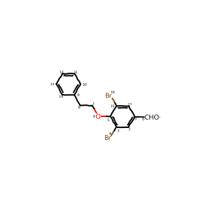 O=[C]c1cc(Br)c(OCCc2ccccc2)c(Br)c1